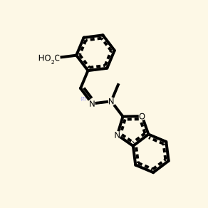 CN(/N=C\c1ccccc1C(=O)O)c1nc2ccccc2o1